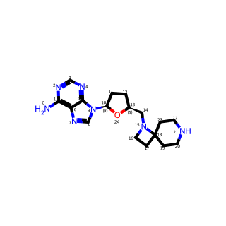 Nc1ncnc2c1ncn2[C@H]1CC[C@@H](CN2CCC23CCNCC3)O1